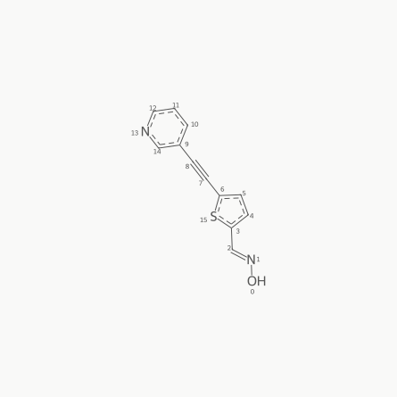 O/N=C/c1ccc(C#Cc2cccnc2)s1